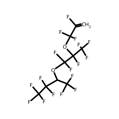 C=C(F)C(F)(F)OC(F)(C(F)(F)F)C(F)(F)OC(C(F)(F)F)C(F)(F)C(F)(F)F